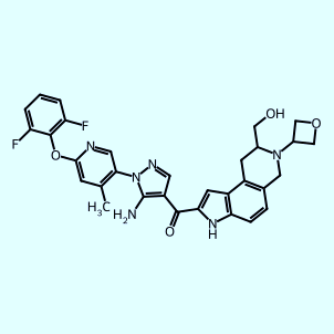 Cc1cc(Oc2c(F)cccc2F)ncc1-n1ncc(C(=O)c2cc3c4c(ccc3[nH]2)CN(C2COC2)C(CO)C4)c1N